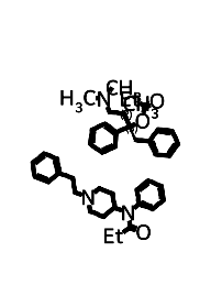 CCC(=O)N(c1ccccc1)C1CCN(CCc2ccccc2)CC1.CCC(=O)O[C@](Cc1ccccc1)(c1ccccc1)[C@H](C)CN(C)C